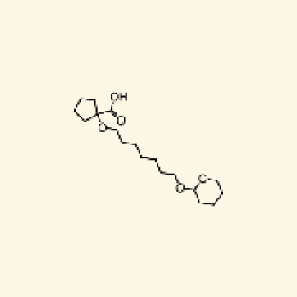 O=C(O)C1(OCCCCCCCOC2CCCCO2)CCCC1